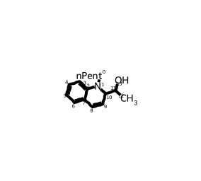 CCCCCN1c2ccccc2C=CC1C(C)O